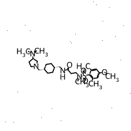 COc1cc(C)c(S(=O)(=O)N(C)CCC(=O)NC[C@H]2CC[C@@H](CN3CCC(N(C)C)C3)CC2)c(C)c1